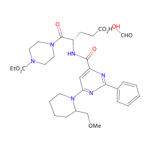 CCOC(=O)N1CCN(C(=O)[C@H](CCC(=O)O)NC(=O)c2cc(N3CCCCC3COC)nc(-c3ccccc3)n2)CC1.O=CO